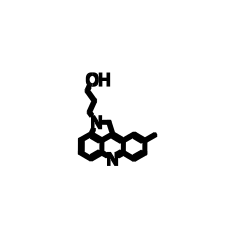 Cc1ccc2nc3cccc4c3c(c2c1)CN4CCCO